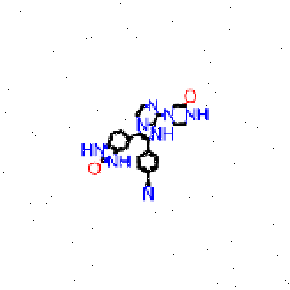 N#Cc1ccc(C2=C(c3ccc4[nH]c(=O)[nH]c4c3)N3C=CN=C(N4CCNC(=O)C4)C3N2)cc1